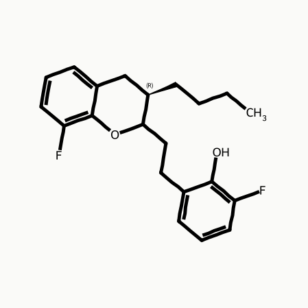 CCCC[C@@H]1Cc2cccc(F)c2OC1CCc1cccc(F)c1O